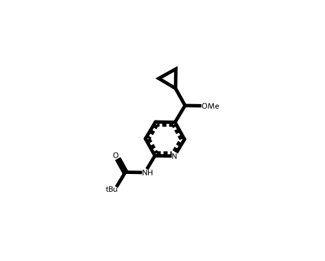 COC(c1ccc(NC(=O)C(C)(C)C)nc1)C1CC1